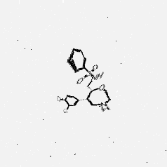 O=S(=O)(NC[C@@H]1OCCNC[C@@H]1c1ccc(Cl)c(Cl)c1)c1ccccc1